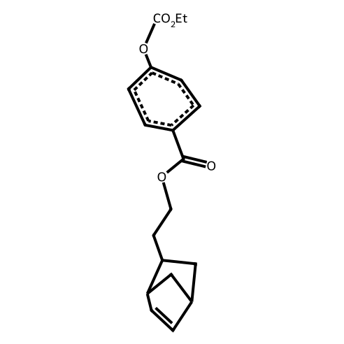 CCOC(=O)Oc1ccc(C(=O)OCCC2CC3C=CC2C3)cc1